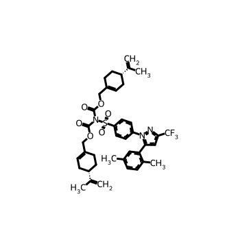 C=C(C)[C@@H]1CC=C(COC(=O)N(C(=O)OCC2=CC[C@@H](C(=C)C)CC2)S(=O)(=O)c2ccc(-n3nc(C(F)(F)F)cc3-c3cc(C)ccc3C)cc2)CC1